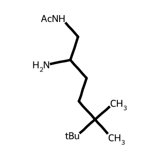 CC(=O)NCC(N)CCC(C)(C)C(C)(C)C